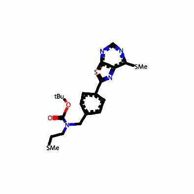 CSCCN(Cc1ccc(-c2nc3c(SC)ncnc3s2)cc1)C(=O)OC(C)(C)C